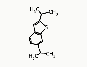 CC(C)c1ccc2cc(C(C)C)sc2c1